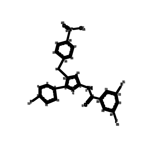 O=C(Nc1nc(-c2ccc(F)cc2)c(Cc2ccc([N+](=O)[O-])cc2)s1)c1cc(F)cc(F)c1